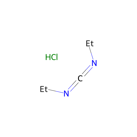 CCN=C=NCC.Cl